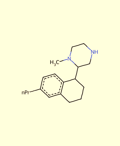 CCCc1ccc2c(c1)CCCC2C1CNCCN1C